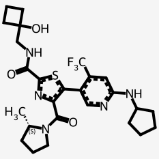 C[C@H]1CCCN1C(=O)c1nc(C(=O)NCC2(O)CCC2)sc1-c1cnc(NC2CCCC2)cc1C(F)(F)F